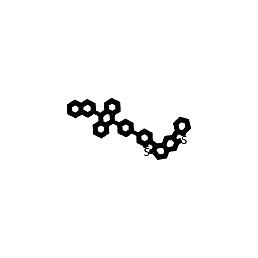 c1ccc2cc(-c3c4ccccc4c(-c4ccc(-c5ccc6c(c5)sc5ccc7cc8sc9ccccc9c8cc7c56)cc4)c4ccccc34)ccc2c1